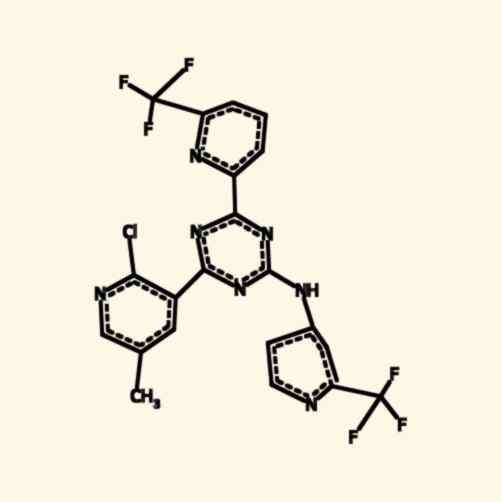 Cc1cnc(Cl)c(-c2nc(Nc3ccnc(C(F)(F)F)c3)nc(-c3cccc(C(F)(F)F)n3)n2)c1